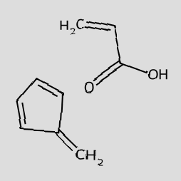 C=C1C=CC=C1.C=CC(=O)O